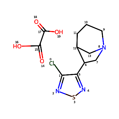 Clc1nsnc1C1CN2CCCC1C2.O=C(O)C(=O)O